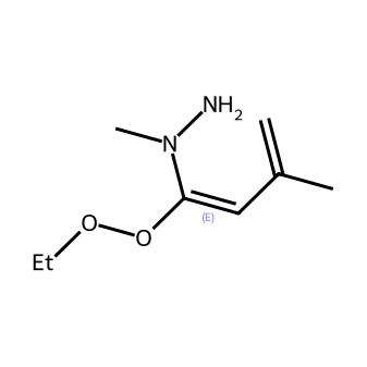 C=C(C)/C=C(/OOCC)N(C)N